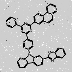 c1ccc(-c2nc(-c3ccc(-n4c5ccccc5c5ccc(-c6nc7ccccc7o6)cc54)cc3)nc(-c3ccc4c(ccc5ccccc54)c3)n2)cc1